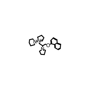 c1ccc2c(OCC(C[N+]3(N4CCCCC4)CCCC3)N3CCCC3)cccc2c1